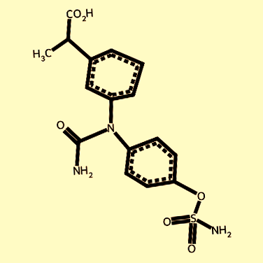 CC(C(=O)O)c1cccc(N(C(N)=O)c2ccc(OS(N)(=O)=O)cc2)c1